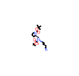 CC(C)(C)OC(=O)N(CCCC#N)C[C@H]1CCCN1C(=O)OC(C)(C)C